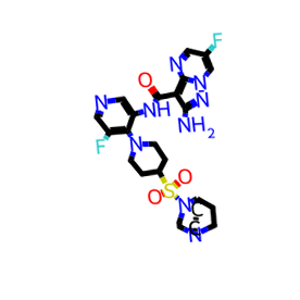 Nc1nn2cc(F)cnc2c1C(=O)Nc1cncc(F)c1N1CCC(S(=O)(=O)N2CCN3CCC2CC3)CC1